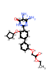 CCOC(=O)COc1cccc(-c2ccc(-c3nc(N)c(N)c(=O)[nH]3)c(OC3CCCC3)c2)c1